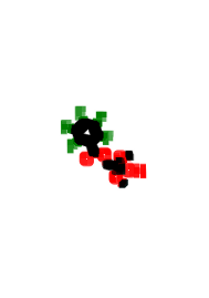 CO[Si](O)(COC(=O)c1c(F)c(F)c(F)c(F)c1F)OC